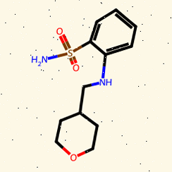 NS(=O)(=O)c1ccccc1NCC1CCOCC1